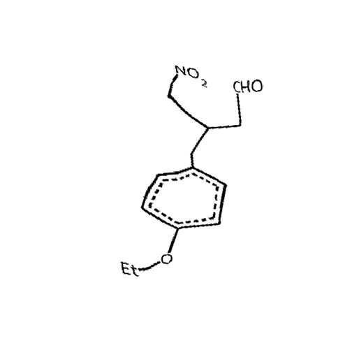 CCOc1ccc(C(CC=O)C[N+](=O)[O-])cc1